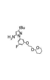 CC(C)(C)c1cc(N)n(-c2cc(F)cc(OCCOC3CCCCO3)c2)n1